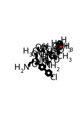 C[C@H](NC(=O)[C@H](CC(N)=O)NC(=O)[C@H](C)NC(=O)[C@@H](NC(=O)[C@H](CCCCN)NC(=O)c1ccc(-c2ccc(Cl)cc2)cc1)[C@@H](C)O)B1OC2C[C@@H]3C[C@@H](C3(C)C)[C@]2(C)O1